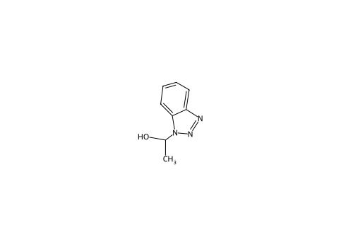 CC(O)n1nnc2ccccc21